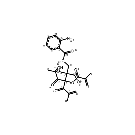 C=C(C)C(=O)OC(C(=O)C(=C)C)(C(=O)C(=C)C)C(CO)(CO)COC(=O)c1ccccc1N